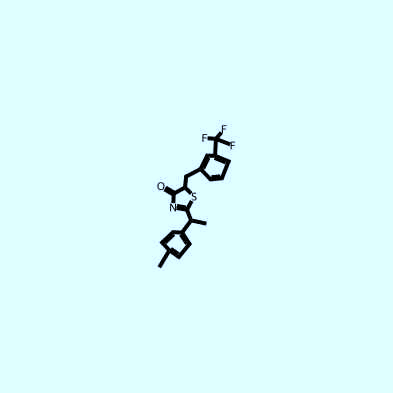 Cc1ccc(C(C)C2=NC(=O)C(Cc3cccc(C(F)(F)F)c3)S2)cc1